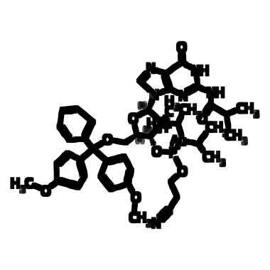 COc1ccc(C(OC[C@H]2O[C@@H](n3cnc4c(=O)[nH]c(NC(=O)C(C)C)nc43)[C@](C)(F)[C@@H]2O[P](OCCC#N)[Au]([CH](C)C)[CH](C)C)(c2ccccc2)c2ccc(OC)cc2)cc1